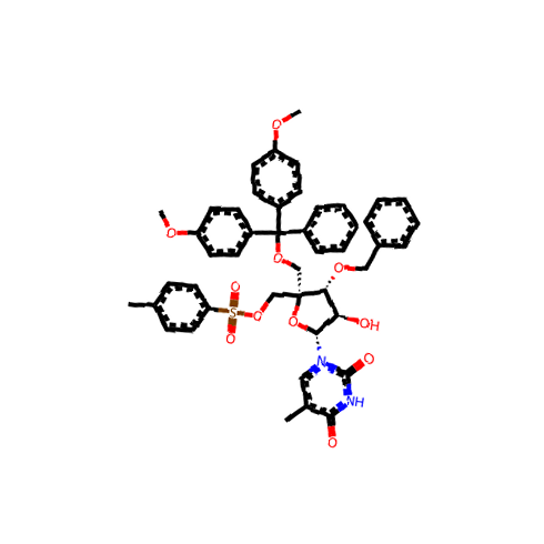 COc1ccc(C(OC[C@@]2(COS(=O)(=O)c3ccc(C)cc3)O[C@@H](n3cc(C)c(=O)[nH]c3=O)[C@H](O)[C@H]2OCc2ccccc2)(c2ccccc2)c2ccc(OC)cc2)cc1